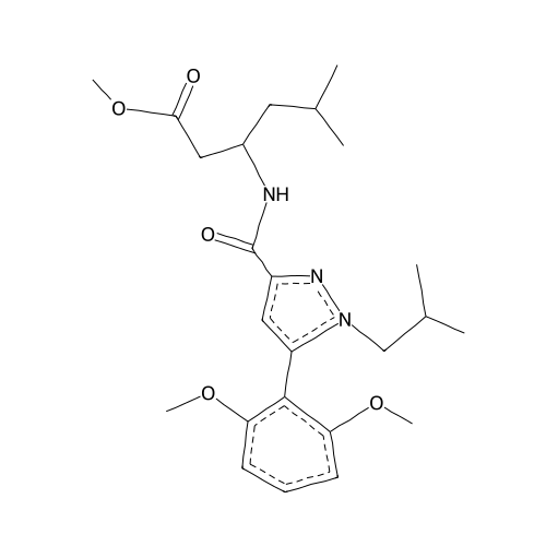 COC(=O)CC(CC(C)C)NC(=O)c1cc(-c2c(OC)cccc2OC)n(CC(C)C)n1